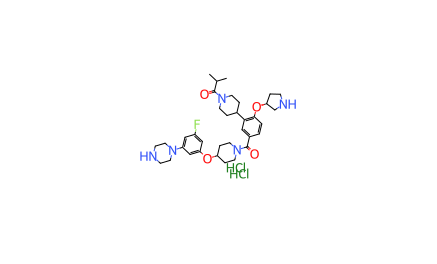 CC(C)C(=O)N1CCC(c2cc(C(=O)N3CCC(Oc4cc(F)cc(N5CCNCC5)c4)CC3)ccc2O[C@H]2CCNC2)CC1.Cl.Cl